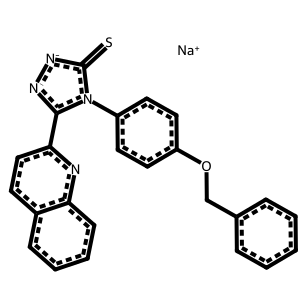 S=c1[n-]nc(-c2ccc3ccccc3n2)n1-c1ccc(OCc2ccccc2)cc1.[Na+]